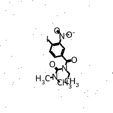 CCN(C(=O)c1ccc(I)c([N+](=O)[O-])c1)C(=O)N(C)C